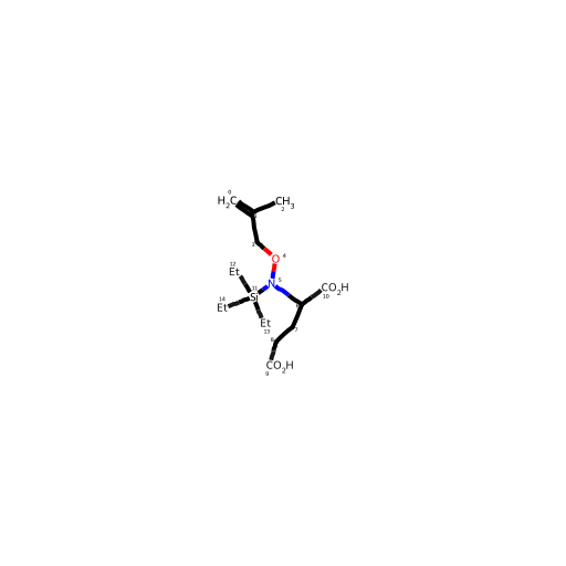 C=C(C)CON(C(CCC(=O)O)C(=O)O)[Si](CC)(CC)CC